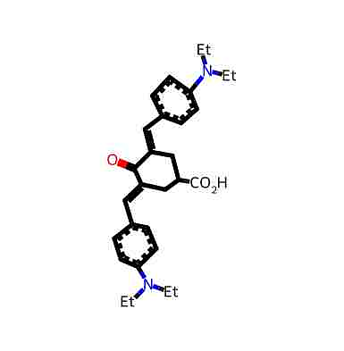 CCN(CC)c1ccc(C=C2CC(C(=O)O)CC(=Cc3ccc(N(CC)CC)cc3)C2=O)cc1